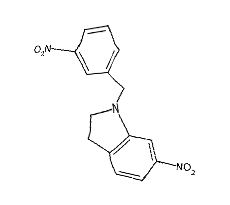 O=[N+]([O-])c1cccc(CN2CCc3ccc([N+](=O)[O-])cc32)c1